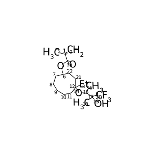 C=C(C)C(=O)OC1CCCCCC(CC)(OC(C)C(C)(O)C(F)(F)F)CC1